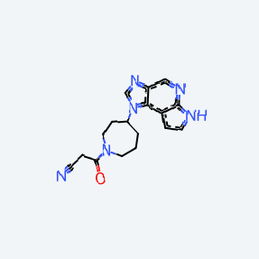 N#CCC(=O)N1CCCC(n2cnc3cnc4[nH]ccc4c32)CC1